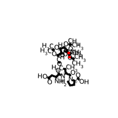 CC(C)C[C@H](N)C(=O)[C@@]12OC(C)(C)O[C@]1(C(=O)O)O[C@H]1C(=C=O)OC(C)(C)O[C@H]12.CC(C)[C@H](NC(=O)[C@@H](N)CC(=O)O)C(=O)N1CCC[C@H]1C(=O)O